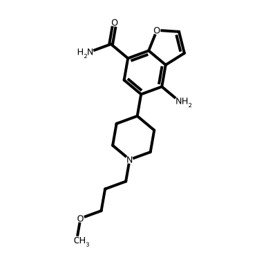 COCCCN1CCC(c2cc(C(N)=O)c3occc3c2N)CC1